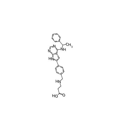 CC(Nc1ncnc2[nH]c(-c3ccc(CNCCC(=O)O)cc3)cc12)c1ccccc1